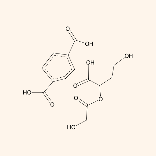 O=C(CO)OC(CCO)C(=O)O.O=C(O)c1ccc(C(=O)O)cc1